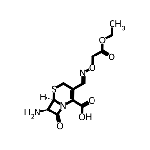 CCOC(=O)CO/N=C/C1=C(C(=O)O)N2C(=O)[C@@H](N)[C@H]2SC1